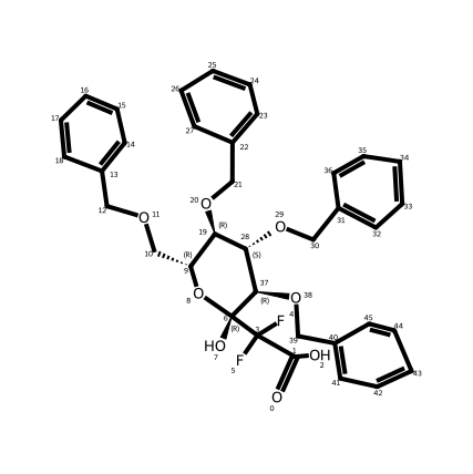 O=C(O)C(F)(F)[C@]1(O)O[C@H](COCc2ccccc2)[C@@H](OCc2ccccc2)[C@H](OCc2ccccc2)[C@H]1OCc1ccccc1